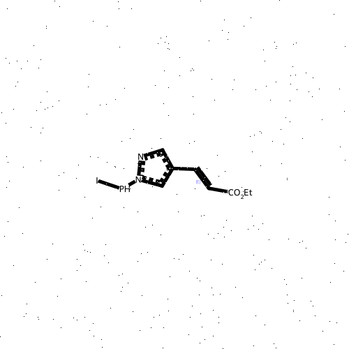 CCOC(=O)/C=C/c1cnn(PI)c1